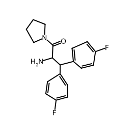 NC(C(=O)N1CCCC1)C(c1ccc(F)cc1)c1ccc(F)cc1